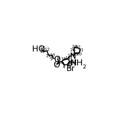 Nc1c(Br)cc(C(=O)OCCCCCO)cc1CNC1CCCCC1